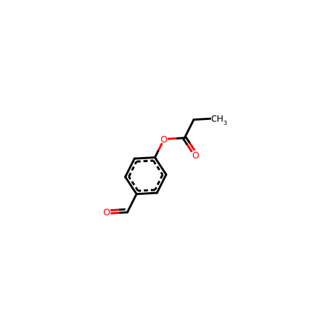 CCC(=O)Oc1ccc(C=O)cc1